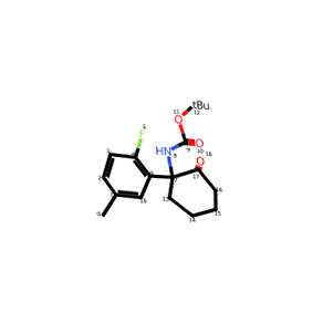 Cc1ccc(F)c(C2(NC(=O)OC(C)(C)C)CCCCC2=O)c1